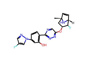 C[C@@]12C=C[C@@H](N1)[C@@H](F)[C@@H](Oc1cnc(-c3ccc(-n4cc(F)cn4)cc3O)nn1)C2